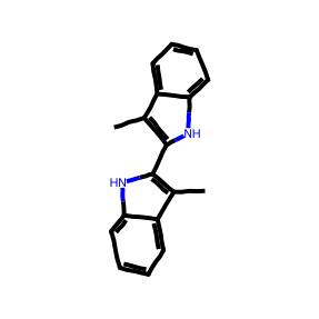 Cc1c(-c2[nH]c3ccccc3c2C)[nH]c2ccccc12